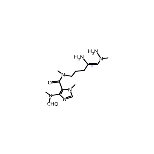 CN(N)/C=C(\N)CCCN(C)C(=O)c1c(N(C)C=O)ncn1C